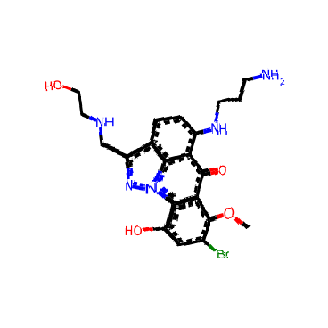 COc1c(Br)cc(O)c2c1c(=O)c1c(NCCCN)ccc3c(CNCCO)nn2c31